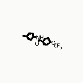 Cc1ccc(NC(=O)c2ccc(OC(F)(F)F)cc2)cc1